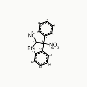 CC[C](C#N)C(c1ccccc1)(c1ccccc1)[N+](=O)[O-]